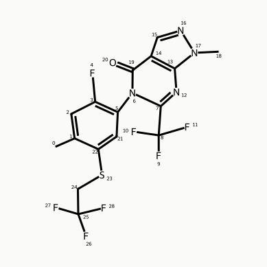 Cc1cc(F)c(-n2c(C(F)(F)F)nc3c(cnn3C)c2=O)cc1SCC(F)(F)F